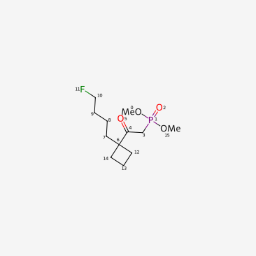 COP(=O)(CC(=O)C1(CCCCF)CCC1)OC